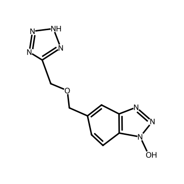 On1nnc2cc(COCc3nn[nH]n3)ccc21